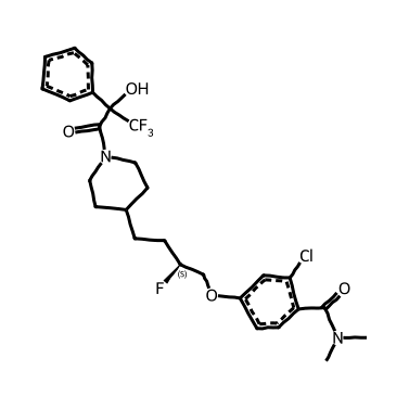 CN(C)C(=O)c1ccc(OC[C@@H](F)CCC2CCN(C(=O)C(O)(c3ccccc3)C(F)(F)F)CC2)cc1Cl